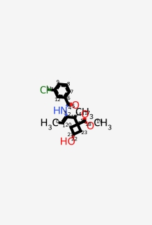 C/C=C(\NC(=O)c1cccc(Cl)c1)C(C)C1(C(=O)OC)CC(O)C1